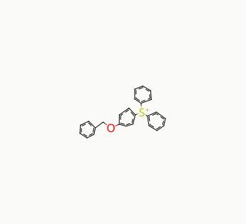 c1ccc(COc2ccc([S+](c3ccccc3)c3ccccc3)cc2)cc1